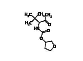 CC(=O)C(NC(=O)OC1CCOC1)C(C)(C)C